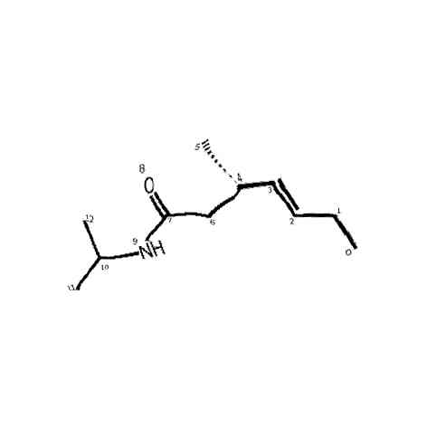 CC/C=C/[C@@H](C)CC(=O)NC(C)C